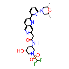 C[C@@H]1CN(c2cccc(-c3ccc4cnc(CC(=O)N[C@@H]5C[C@@H](O)CN(S(=O)(=O)C(F)F)C5)cc4n3)n2)C[C@H](C)O1